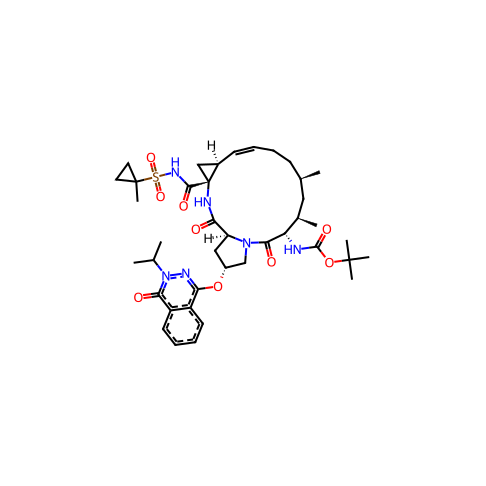 CC(C)n1nc(O[C@@H]2C[C@H]3C(=O)N[C@]4(C(=O)NS(=O)(=O)C5(C)CC5)C[C@H]4/C=C\CC[C@@H](C)C[C@@H](C)[C@H](NC(=O)OC(C)(C)C)C(=O)N3C2)c2ccccc2c1=O